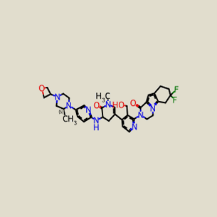 C[C@H]1CN(C2COC2)CCN1c1ccc(NC2CC(c3ccnc(N4CCn5c(cc6c5CC(F)(F)CC6)C4=O)c3CO)=CN(C)C2=O)nc1